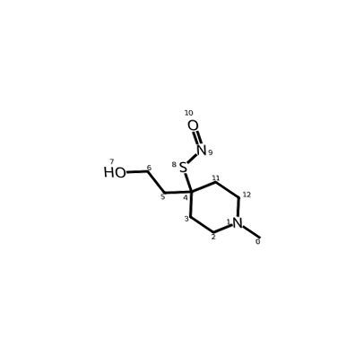 CN1CCC(CCO)(SN=O)CC1